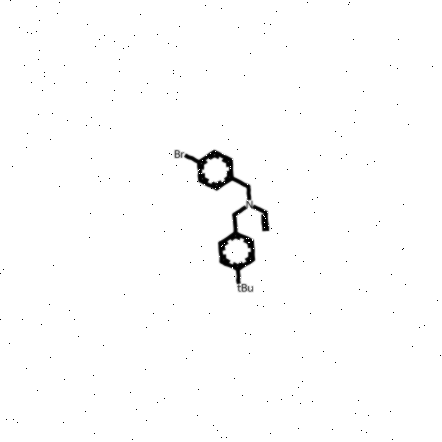 C=CN(Cc1ccc(Br)cc1)Cc1ccc(C(C)(C)C)cc1